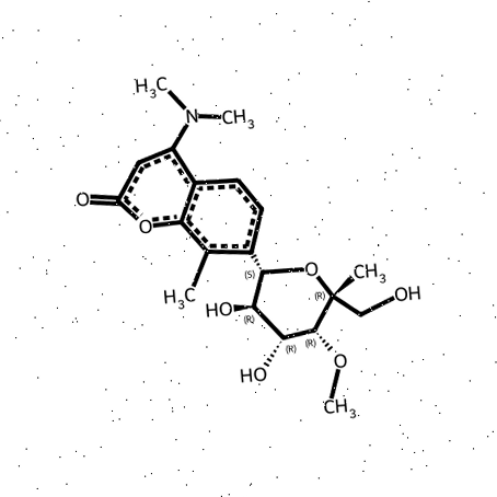 CO[C@@H]1[C@H](O)[C@@H](O)[C@H](c2ccc3c(N(C)C)cc(=O)oc3c2C)O[C@]1(C)CO